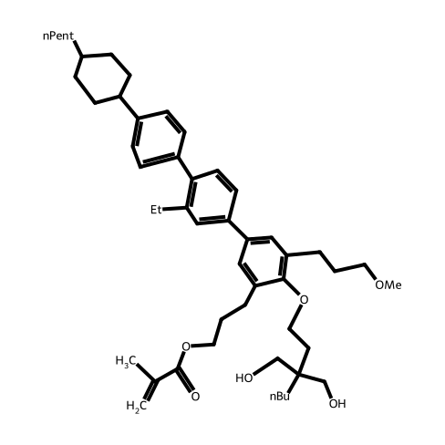 C=C(C)C(=O)OCCCc1cc(-c2ccc(-c3ccc(C4CCC(CCCCC)CC4)cc3)c(CC)c2)cc(CCCOC)c1OCCC(CO)(CO)CCCC